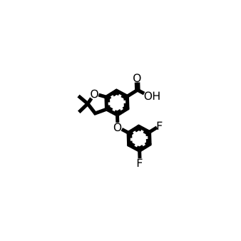 CC1(C)Cc2c(Oc3cc(F)cc(F)c3)cc(C(=O)O)cc2O1